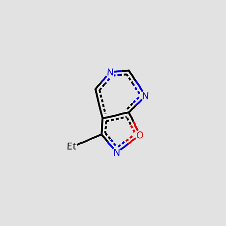 CCc1noc2ncncc12